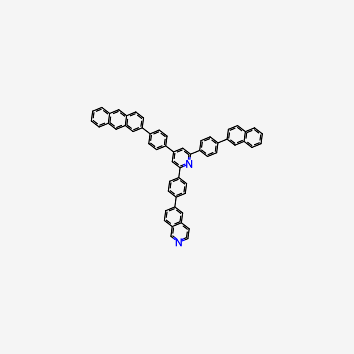 c1ccc2cc(-c3ccc(-c4cc(-c5ccc(-c6ccc7cc8ccccc8cc7c6)cc5)cc(-c5ccc(-c6ccc7cnccc7c6)cc5)n4)cc3)ccc2c1